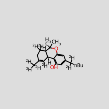 [2H]C1=C(C([2H])([2H])[2H])CC([2H])([2H])[C@]2([2H])[C@@H]1c1c(O)cc(C([2H])([2H])CCCC)cc1OC2(C)C